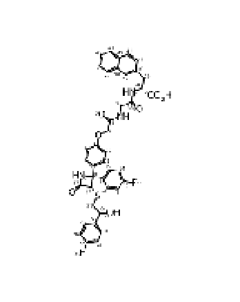 O=C(COc1ccc([C@]2(c3ccc(F)cc3)NC(=O)[C@@H]2SCC(O)c2ccc(F)cc2)cc1)NCC(=O)N[C@H](Cc1ccc2ccccc2c1)C(=O)O